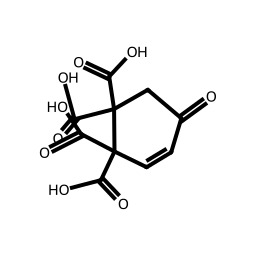 O=C1C=CC(C(=O)O)(C(=O)O)C(C(=O)O)(C(=O)O)C1